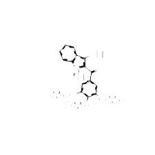 COc1cc(C(=O)c2c(C)c3ccccc3n2C)cc(OC)c1OC